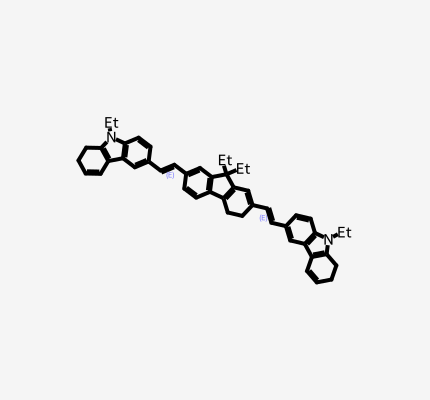 CCn1c2c(c3cc(/C=C/C4=CC5=C(CC4)c4ccc(/C=C/c6ccc7c(c6)c6c(n7CC)CCC=C6)cc4C5(CC)CC)ccc31)C=CCC2